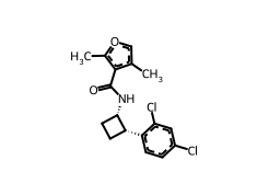 Cc1coc(C)c1C(=O)N[C@H]1CC[C@H]1c1ccc(Cl)cc1Cl